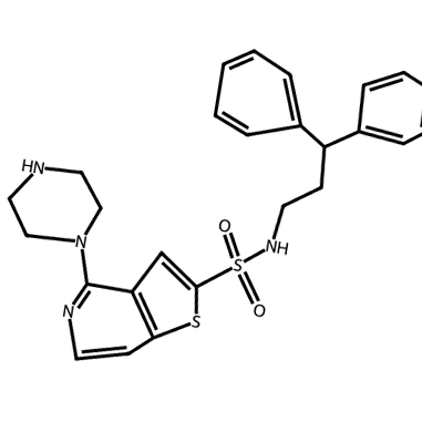 O=S(=O)(NCCC(c1ccccc1)c1ccccc1)c1cc2c(N3CCNCC3)nccc2s1